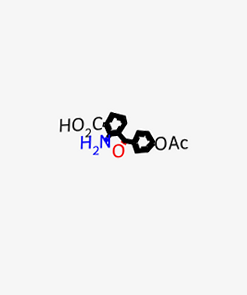 CC(=O)Oc1ccc(C(=O)c2cccc(C(=O)O)c2N)cc1